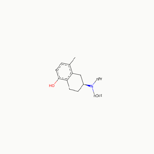 CCCCCCCCN(CCC)[C@H]1CCc2c(O)ccc(C)c2C1